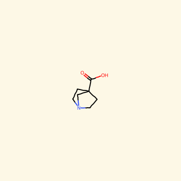 O=C(O)C12CCN(CC1)C2